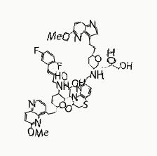 COc1ccc2nccc(CC[C@@H]3CC[C@@H](NCc4ccc5c(n4)N(C(C(O)CO)[C@@H]4O[C@H](CCc6ccnc7ccc(OC)nc67)CC[C@H]4NC/C=C/c4cc(F)ccc4F)C(=O)CS5)[C@@H](C[C@H](O)CO)O3)c2n1